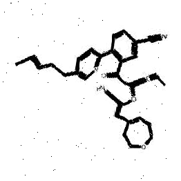 CC=C=C(OC(=N)CC1=CCCOCC1)C(=O)c1cc(C#N)ccc1-c1ccc(CC/C=C/C)cn1